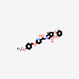 COc1ccc(COc2ccc(C(O)CN3C[C@H]4C[C@H](Oc5ccccc5F)[C@H](O)[C@@]4(O)C3)nc2)cc1